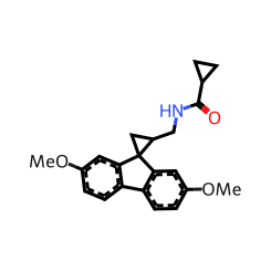 COc1ccc2c(c1)C1(CC1CNC(=O)C1CC1)c1cc(OC)ccc1-2